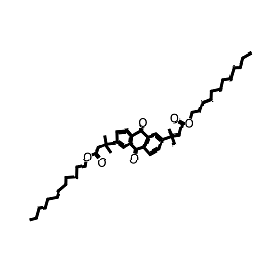 CCCCCCCCCCCCOC(=O)CC(C)(C)c1ccc2c(c1)C(=O)c1ccc(C(C)(C)CC(=O)OCCCCCCCCCCCC)cc1C2=O